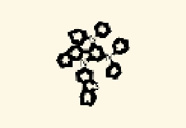 c1ccc(N(c2ccccc2)c2cc(N(c3ccccc3)c3ccccc3)c3c4ccc5ccccc5c4n(-c4ccc5c(c4)sc4ccccc45)c3c2)cc1